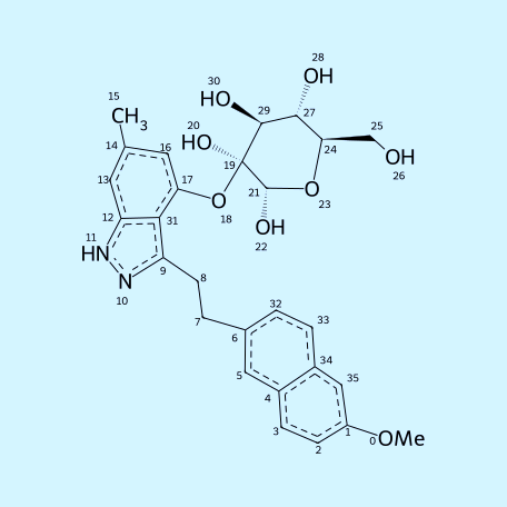 COc1ccc2cc(CCc3n[nH]c4cc(C)cc(O[C@]5(O)[C@@H](O)O[C@H](CO)[C@@H](O)[C@@H]5O)c34)ccc2c1